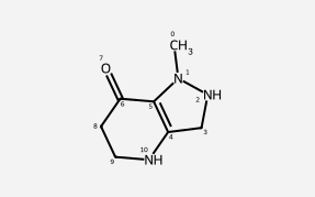 CN1NCC2=C1C(=O)CCN2